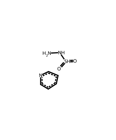 NN[SH](=O)=O.c1ccncc1